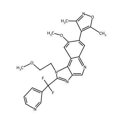 COCCn1c(C(F)(F)c2cccnc2)nc2cnc3cc(-c4c(C)noc4C)c(OC)cc3c21